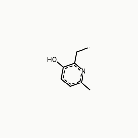 [CH2]Cc1nc(C)ccc1O